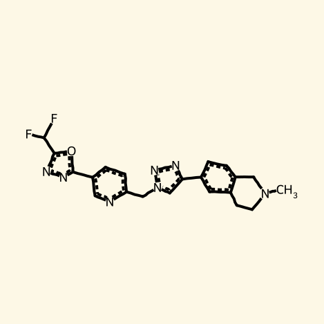 CN1CCc2cc(-c3cn(Cc4ccc(-c5nnc(C(F)F)o5)cn4)nn3)ccc2C1